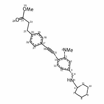 CNc1cc(SNC2CCCCC2)ccc1C#Cc1ccc(CCC(=O)OC)cc1